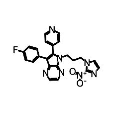 O=[N+]([O-])c1nccn1CCCn1c(-c2ccncc2)c(-c2ccc(F)cc2)c2nccnc21